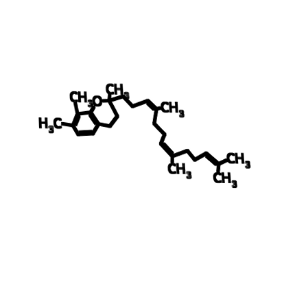 CC(C)=CCCC(C)=CCCC(C)=CCCC1(C)CCc2ccc(C)c(C)c2O1